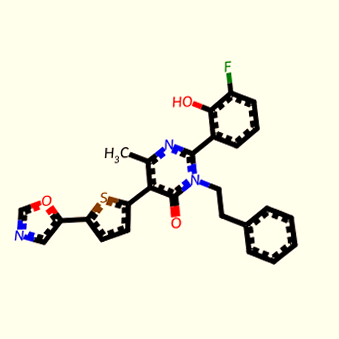 Cc1nc(-c2cccc(F)c2O)n(CCc2ccccc2)c(=O)c1-c1ccc(-c2cnco2)s1